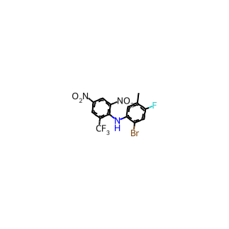 Cc1cc(Nc2c([N+](=O)[O-])cc([N+](=O)[O-])cc2C(F)(F)F)c(Br)cc1F